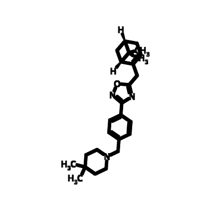 CC1(C)CCN(Cc2ccc(-c3noc(CC4=CC[C@H]5C[C@@H]4C5(C)C)n3)cc2)CC1